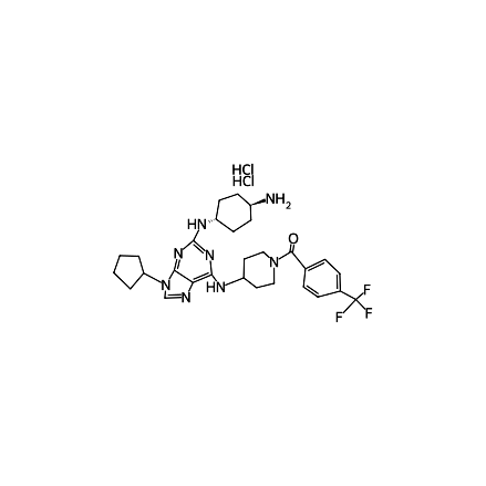 Cl.Cl.N[C@H]1CC[C@H](Nc2nc(NC3CCN(C(=O)c4ccc(C(F)(F)F)cc4)CC3)c3ncn(C4CCCC4)c3n2)CC1